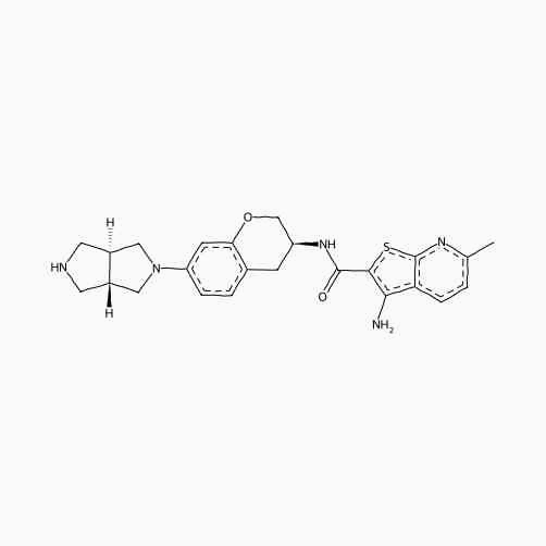 Cc1ccc2c(N)c(C(=O)N[C@@H]3COc4cc(N5C[C@@H]6CNC[C@H]6C5)ccc4C3)sc2n1